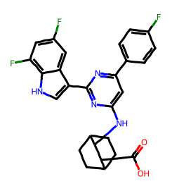 O=C(O)C1C2CCC(CC2)C1Nc1cc(-c2ccc(F)cc2)nc(-c2c[nH]c3c(F)cc(F)cc23)n1